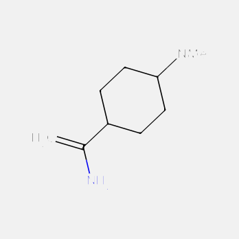 C=C(N)C1CCC(NC)CC1